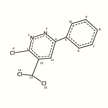 Clc1nnc(-c2ccccc2)cc1C(Cl)Cl